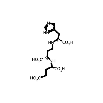 O=C(O)CCC(N[C@@H](CCN[C@@H](Cc1cnc[nH]1)C(=O)O)C(=O)O)C(=O)O